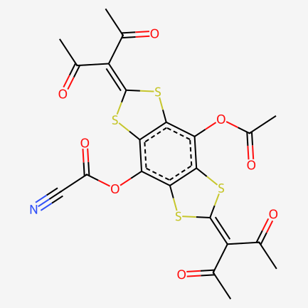 CC(=O)Oc1c2c(c(OC(=O)C#N)c3c1SC(=C(C(C)=O)C(C)=O)S3)SC(=C(C(C)=O)C(C)=O)S2